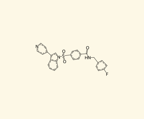 O=C(NCc1ccc(F)cc1)c1ccc(S(=O)(=O)n2cc(-c3ccncc3)c3ccccc32)cc1